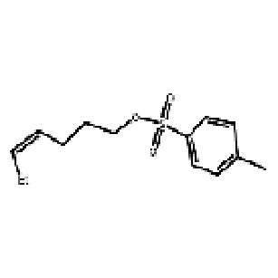 CC/C=C\CCCOS(=O)(=O)c1ccc(C)cc1